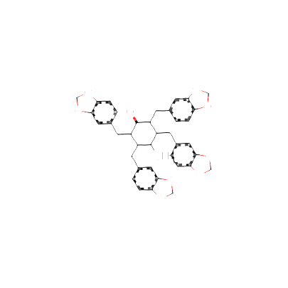 CC1C(Cc2ccc3c(c2)OCO3)C(Cc2ccc3c(c2)OCO3)C(=O)C(Cc2ccc3c(c2)OCO3)C1Cc1ccc2c(c1)OCO2